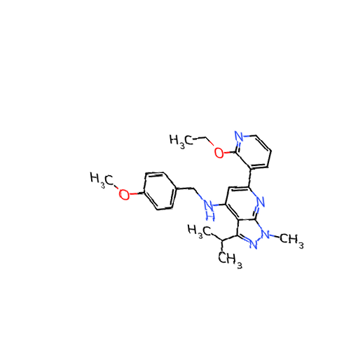 CCOc1ncccc1-c1cc(NCc2ccc(OC)cc2)c2c(C(C)C)nn(C)c2n1